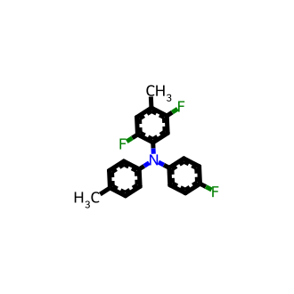 Cc1ccc(N(c2ccc(F)cc2)c2cc(F)c(C)cc2F)cc1